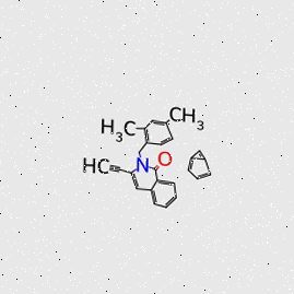 C#Cc1cc2ccccc2c(=O)n1Cc1ccc(C)cc1C.c1cc2cc-2c1